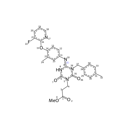 COC(=O)CCn1c(=O)[nH]/c(=N\c2ccc(Oc3ncccc3F)c(C)c2)n(Cc2ccc(C)cc2)c1=O